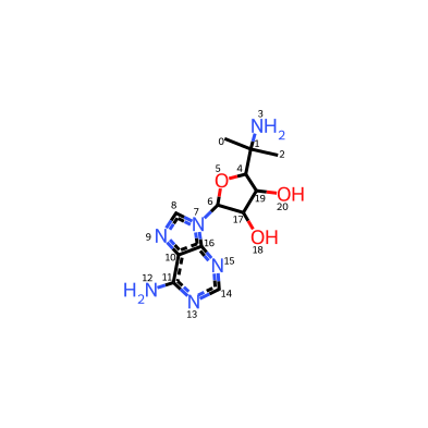 CC(C)(N)C1OC(n2cnc3c(N)ncnc32)C(O)C1O